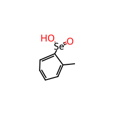 Cc1ccccc1[Se](=O)O